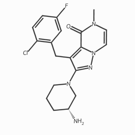 Cn1ccn2nc(N3CCC[C@@H](N)C3)c(Cc3cc(F)ccc3Cl)c2c1=O